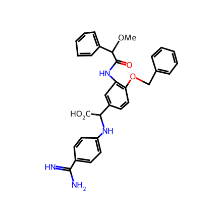 COC(C(=O)Nc1cc(C(Nc2ccc(C(=N)N)cc2)C(=O)O)ccc1OCc1ccccc1)c1ccccc1